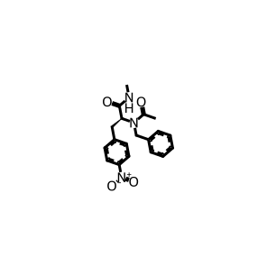 CNC(=O)[C@H](Cc1ccc([N+](=O)[O-])cc1)N(Cc1ccccc1)C(C)=O